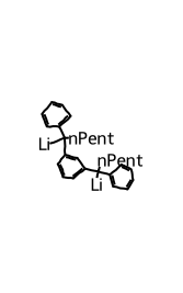 [Li][C](CCCCC)(c1ccccc1)c1cccc([C]([Li])(CCCCC)c2ccccc2)c1